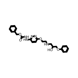 O=C(NNc1ccc(OCCNCC(O)COc2ccccc2)nn1)OCc1ccccc1